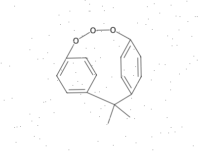 CC1(C)c2ccc(cc2)OOOc2ccc1cc2